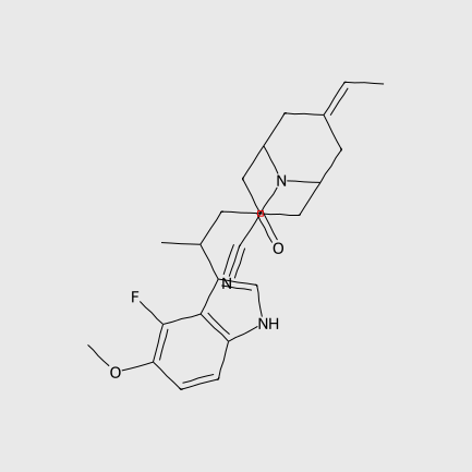 CC=C1CC2CC(C#N)CC(C1)N2C(=O)CC(C)c1c[nH]c2ccc(OC)c(F)c12